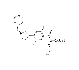 CCOC=C(C(=O)OCC)C(=O)c1cc(F)c(C2CCN(Cc3ccccc3)C2)cc1F